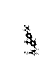 Nc1n[nH]c(Nc2cc(F)c(-c3ccc([S+]([O-])C(F)(F)F)cc3)c(C(F)(F)F)c2)n1